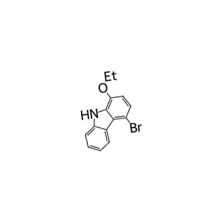 CCOc1ccc(Br)c2c1[nH]c1ccccc12